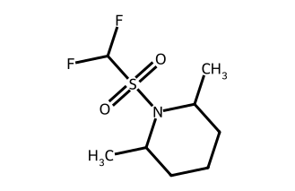 CC1CCCC(C)N1S(=O)(=O)C(F)F